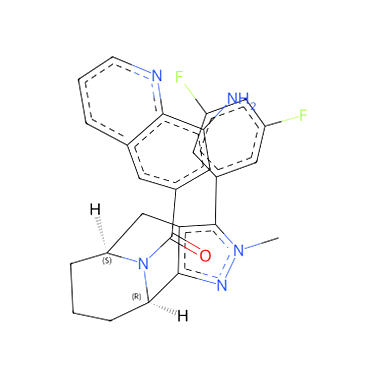 Cn1nc2c(c1-c1cc(F)cc(F)c1)C[C@@H]1CCC[C@H]2N1C(=O)c1cc(N)c2ncccc2c1